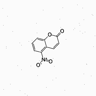 O=c1ccc2c([N+](=O)[O-])cccc2o1